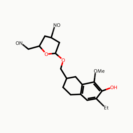 CCc1cc2c(c(OC)c1O)CC(COC1CC(N=O)CC(CN=O)O1)CC2